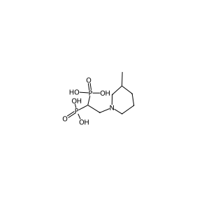 CC1CCCN(CC(P(=O)(O)O)P(=O)(O)O)C1